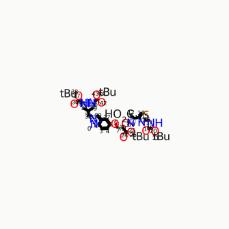 C[n+]1c2ccc(OC[C@H](O/N=C(\C(=O)O)c3csc(NC(=O)OC(C)(C)C)n3)C(=O)OC(C)(C)C)cc2cn1CC(CNC(=O)OC(C)(C)C)CNC(=O)OC(C)(C)C